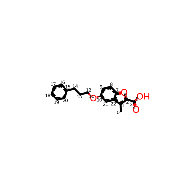 Cc1c(C(=O)O)oc2ccc(OCCCc3ccccc3)cc12